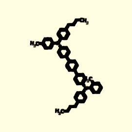 CCCCc1ccc(N(c2ccc(C)cc2)c2ccc(-c3ccc(-c4ccc(N(c5ccc(CCCC)cc5)c5ccccc5C)cc4)cc3)cc2)cc1